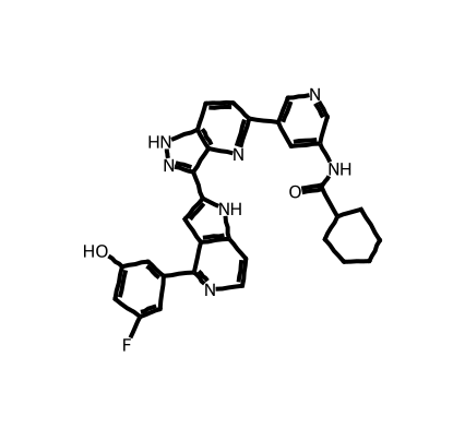 O=C(Nc1cncc(-c2ccc3[nH]nc(-c4cc5c(-c6cc(O)cc(F)c6)nccc5[nH]4)c3n2)c1)C1CCCCC1